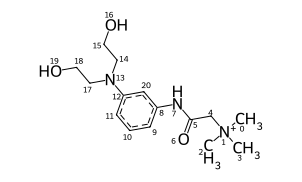 C[N+](C)(C)CC(=O)Nc1cccc(N(CCO)CCO)c1